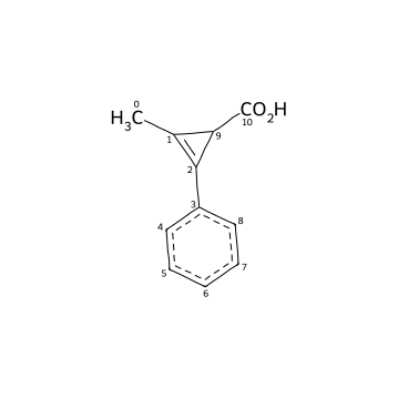 CC1=C(c2ccccc2)C1C(=O)O